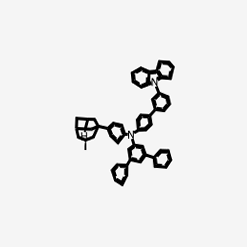 C[C@H]1CC2CC3CC(c4ccc(N(c5ccc(-c6cccc(-n7c8ccccc8c8ccccc87)c6)cc5)c5cc(-c6ccccc6)cc(-c6ccccc6)c5)cc4)(C1)C[C@H]23